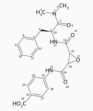 CN(C)C(=O)[C@H](Cc1ccccc1)NC(=O)C1OC1C(=O)Nc1ccc(C(=O)O)cc1